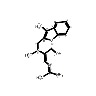 C/C(N)=N\C=C(CO)N(C)Cc1oc2ccccc2c1C